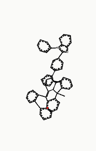 CC1C(c2ccc(-c3nc4ccccc4n3-c3ccccc3)cc2)C=CC2=C(c3ccccc3-c3ccccc3)c3ccccc3C(C)(c3ccccc3-c3ccccc3)C21